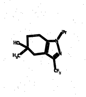 CC(C)n1nc(C(F)(F)F)c2c1CCC(C)(O)C2